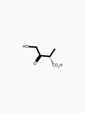 C[C@H](C(=O)O)C(=O)CO